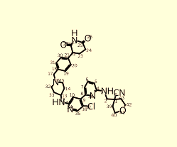 N#CC1(CNc2cccc(-c3cc(NC4CCN(Cc5ccc(C6CCC(=O)NC6=O)cc5)CC4)ncc3Cl)n2)CCOCC1